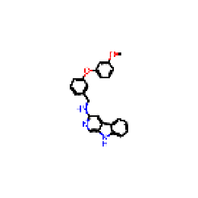 COc1cccc(Oc2cccc(CNc3cc4c(cn3)[nH]c3ccccc34)c2)c1